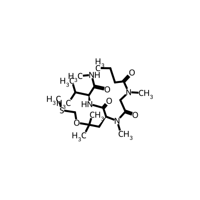 CCCC(=O)N(C)CC(=O)N(C)[C@@H](CC(C)(C)OCSC)C(=O)N[C@H](C(=O)NC)C(C)C